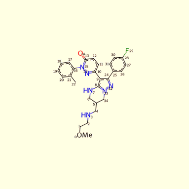 COCCNCC1CNc2c(-c3ccc(=O)n(-c4ccccc4C)n3)c(-c3ccc(F)cc3)nn2C1